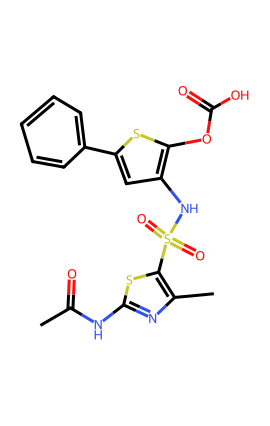 CC(=O)Nc1nc(C)c(S(=O)(=O)Nc2cc(-c3ccccc3)sc2OC(=O)O)s1